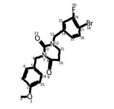 COc1ccc(CN2C(=O)CCN(Cc3ccc(Br)c(F)c3)C2=O)cc1